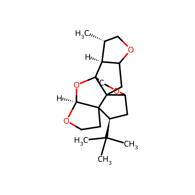 C[C@@H]1COC2CC34C5C[C@@H](C(C)(C)C)C36CCO[C@H]6OC4(CO5)[C@H]21